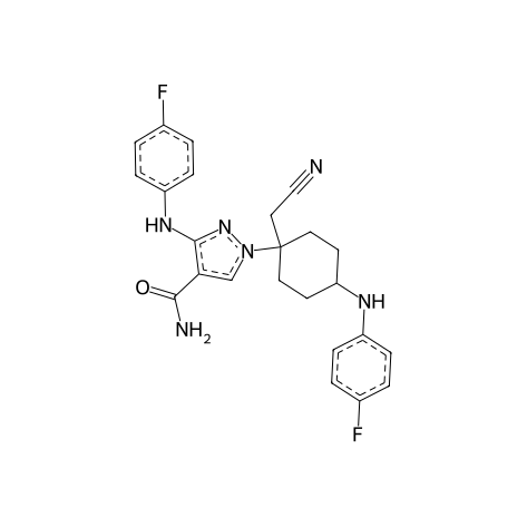 N#CCC1(n2cc(C(N)=O)c(Nc3ccc(F)cc3)n2)CCC(Nc2ccc(F)cc2)CC1